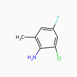 Cc1cc(F)cc(Cl)c1N